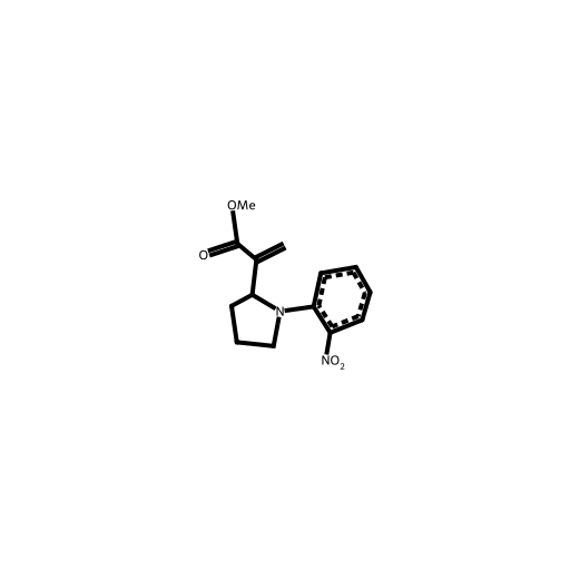 C=C(C(=O)OC)C1CCCN1c1ccccc1[N+](=O)[O-]